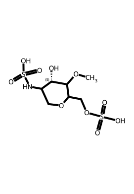 COC1C(COS(=O)(=O)O)OCC(NS(=O)(=O)O)[C@@H]1O